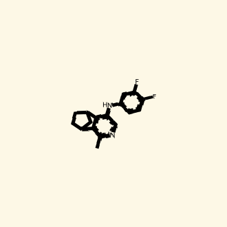 Cc1ncc(Nc2ccc(F)c(F)c2)c2c1C1CCC2C1